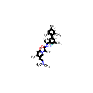 CCOC(=O)C[C@H](NC(=O)C(C(C)C)n1cc(CCN(C)C)c(C(F)(F)F)cc1=O)c1cc(-c2c(C)cc(C)cc2C)cc(C)c1F